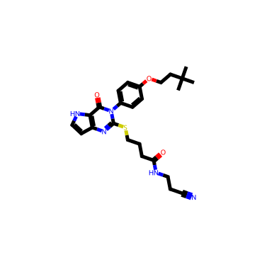 CC(C)(C)CCOc1ccc(-n2c(SCCCC(=O)NCCC#N)nc3cc[nH]c3c2=O)cc1